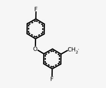 [CH2]c1cc(F)cc(Oc2ccc(F)cc2)c1